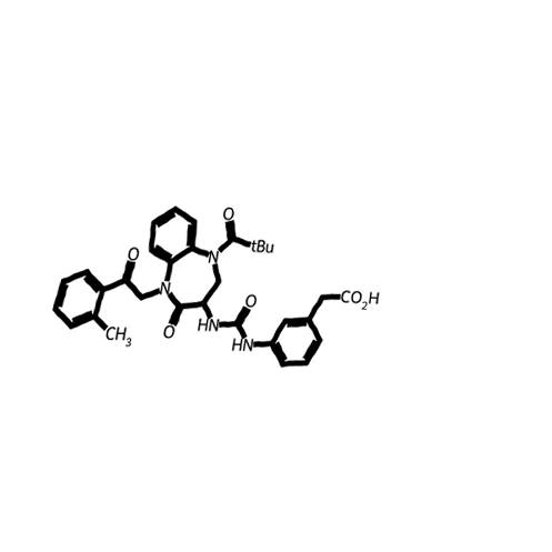 Cc1ccccc1C(=O)CN1C(=O)C(NC(=O)Nc2cccc(CC(=O)O)c2)CN(C(=O)C(C)(C)C)c2ccccc21